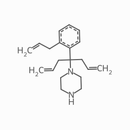 C=CCc1ccccc1C(CC=C)(CC=C)N1CCNCC1